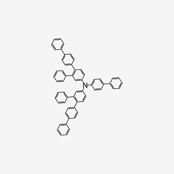 c1ccc(-c2ccc(-c3ccc(N(c4ccc(-c5ccccc5)cc4)c4ccc(-c5ccc(-c6ccccc6)cc5)c(-c5ccccc5)c4)cc3-c3ccccc3)cc2)cc1